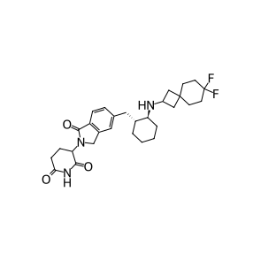 O=C1CCC(N2Cc3cc(C[C@H]4CCCC[C@@H]4NC4CC5(CCC(F)(F)CC5)C4)ccc3C2=O)C(=O)N1